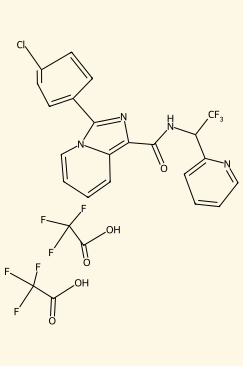 O=C(NC(c1ccccn1)C(F)(F)F)c1nc(-c2ccc(Cl)cc2)n2ccccc12.O=C(O)C(F)(F)F.O=C(O)C(F)(F)F